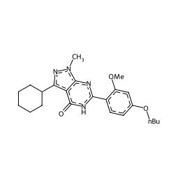 CCCCOc1ccc(-c2nc3c(c(C4CCCCC4)nn3C)c(=O)[nH]2)c(OC)c1